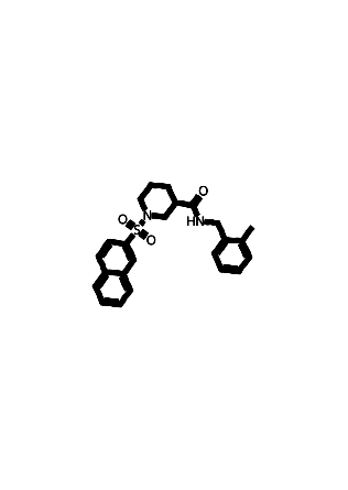 Cc1ccccc1CNC(=O)C1CCCN(S(=O)(=O)c2ccc3ccccc3c2)C1